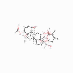 CC(=O)OC[C@]12CC[C@H]3[C@@H](C[C@H]4O[C@]45[C@H](OC(C)=O)C=CC(=O)[C@]35C)[C@]1(O)CC[C@@]2(O)C(C)(O)[C@H]1CC(C)=C(C)C(=O)O1